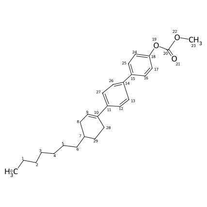 CCCCCCCC1CC=C(c2ccc(-c3ccc(OC(=O)OC)cc3)cc2)CC1